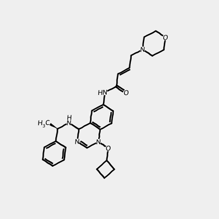 C[C@@H](NC1N=CN(OC2CCC2)c2ccc(NC(=O)C=CCN3CCOCC3)cc21)c1ccccc1